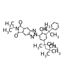 CC(C)N1C(=O)c2cc3nn(-c4cc(C(C)(C)CC(C)(C)C)cc(C(C)(C)c5ccccc5)c4O)nc3cc2C1=O